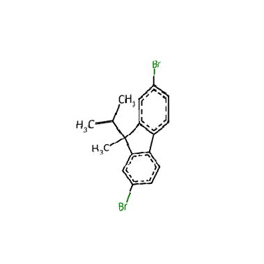 CC(C)C1(C)c2cc(Br)ccc2-c2ccc(Br)cc21